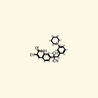 CCc1cc2ccc(C(C)(C#N)Cc3cccc(N4CCCCC4)c3)cc2[nH]c1=O